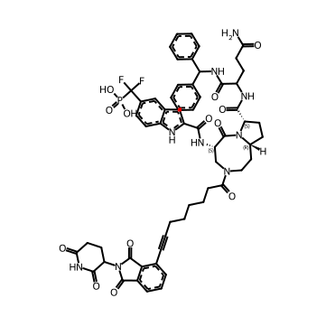 NC(=O)CCC(NC(=O)[C@@H]1CC[C@@H]2CCN(C(=O)CCCCCC#Cc3cccc4c3C(=O)N(C3CCC(=O)NC3=O)C4=O)C[C@H](NC(=O)c3cc4cc(C(F)(F)P(=O)(O)O)ccc4[nH]3)C(=O)N21)C(=O)NC(c1ccccc1)c1ccccc1